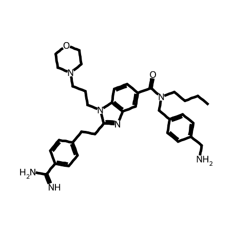 CCCCN(Cc1ccc(CN)cc1)C(=O)c1ccc2c(c1)nc(CCc1ccc(C(=N)N)cc1)n2CCCN1CCOCC1